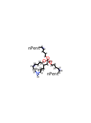 CCCCC/C=C\CCCO[Si](CCCCCN(C)C)(OCCC/C=C\CCCCC)OCCC/C=C\CCCCC